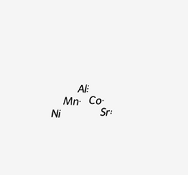 [Al].[Co].[Mn].[Ni].[Sr]